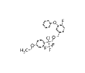 CCOc1ccc(C(Cl)(COCc2ccc(F)c(Oc3ccccc3)c2)C(F)(F)F)cc1